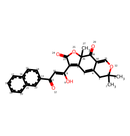 CC1(C)CC2=CC3=C(/C(O)=C/C(=O)c4ccc5ccccc5c4)C(=O)OC3(C)C(=O)C2=CO1